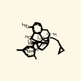 CO[C@@]12CC(=C3[C@H]4Cc5ccc(O)c6c5[C@@]3(CCN4CC3CC3)[C@H]1O6)[C@@H]2[C@](C)(O)c1cc(C)cc(C)c1